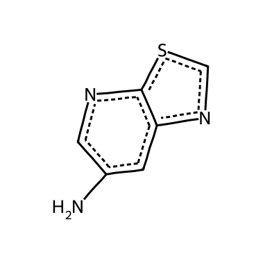 Nc1cnc2scnc2c1